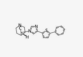 c1ccc(-c2ccc(-c3cn([C@H]4CN5CCC4CC5)cn3)s2)cc1